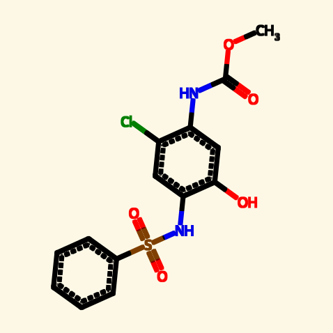 COC(=O)Nc1cc(O)c(NS(=O)(=O)c2ccccc2)cc1Cl